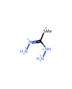 CSC(=NN)NN